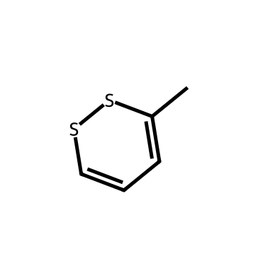 CC1=CC=CSS1